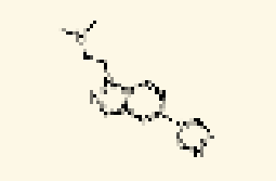 CN(C)CCn1ncc2cc(-n3cnnc3)ccc21